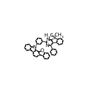 C[Si]1(C)c2ccccc2-c2c(-c3ccccc3)nc(-c3cccc(-n4c5ccccc5c5ccc6c7ccccc7oc6c54)c3)nc21